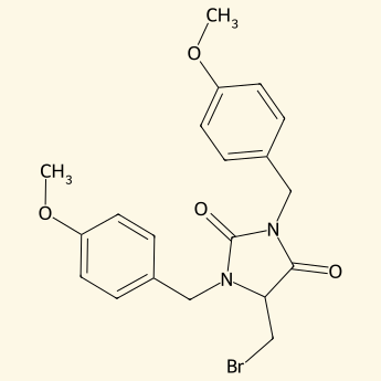 COc1ccc(CN2C(=O)C(CBr)N(Cc3ccc(OC)cc3)C2=O)cc1